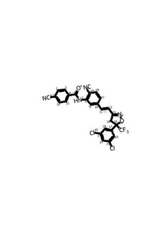 N#Cc1ccc(C(=O)Nc2cc(/C=C/C3=NOC(c4cc(Cl)cc(Cl)c4)(C(F)(F)F)C3)ccc2C#N)cc1